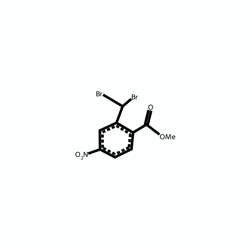 COC(=O)c1ccc([N+](=O)[O-])cc1C(Br)Br